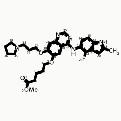 COC(=O)CCCCOc1cc2c(Nc3ccc4[nH]c(C)cc4c3F)ncnc2cc1OCCCN1CCCC1